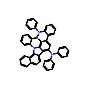 c1ccc(N2B3c4ccccc4-n4c5c3c(cc(N(c3ccccc3)c3ccccc3)c5c3ccc5ccccc5c34)-c3ccccc32)cc1